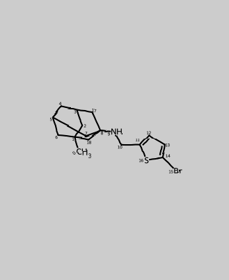 CC12CC3CC(C1)CC(NCc1ccc(Br)s1)(C3)C2